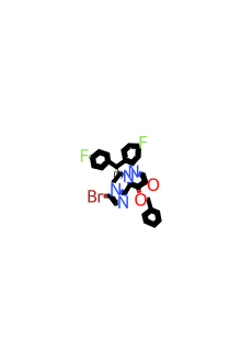 O=c1cnn2c(c1OCc1ccccc1)-c1ncc(Br)n1C[C@@H]2C(c1ccc(F)cc1)c1ccc(F)cc1